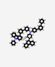 CC1C=C(N(c2ccc(-c3cccc(-c4ccccc4)c3)cc2)c2cccc(-c3cccc(-c4cccc5c4c4ccccc4n5-c4ccccc4)c3)c2)C=CC1c1cc2ccccc2c2ccccc12